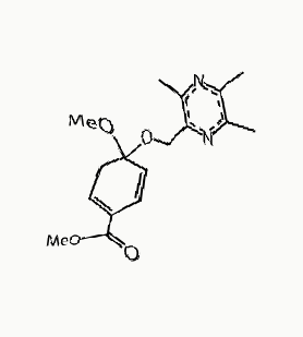 COC(=O)C1=CCC(OC)(OCc2nc(C)c(C)nc2C)C=C1